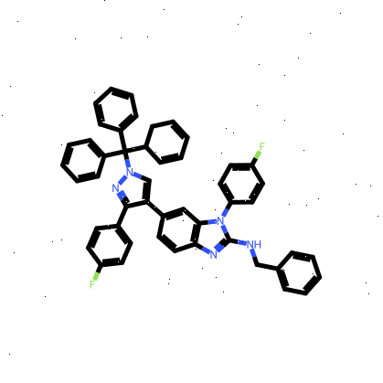 Fc1ccc(-c2nn(C(c3ccccc3)(c3ccccc3)C3C=CC=CC3)cc2-c2ccc3nc(NCc4ccccc4)n(-c4ccc(F)cc4)c3c2)cc1